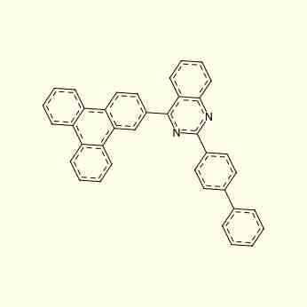 c1ccc(-c2ccc(-c3nc(-c4ccc5c6ccccc6c6ccccc6c5c4)c4ccccc4n3)cc2)cc1